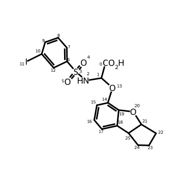 O=C(O)C(NS(=O)(=O)c1cccc(I)c1)Oc1cccc2c1OC1CCCC21